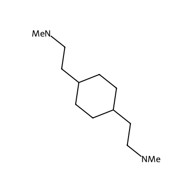 CNCCC1CCC(CCNC)CC1